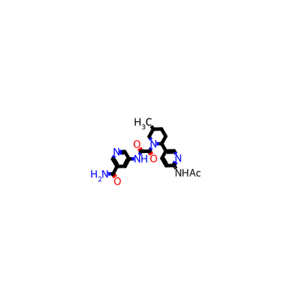 CC(=O)Nc1ccc(C2CCC(C)CN2C(=O)C(=O)Nc2cncc(C(N)=O)c2)cn1